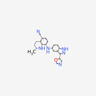 CC1CCc2c(C#N)ccc(Nc3ccc4[nH]nc(-c5cnco5)c4c3)c2N1